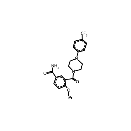 CC(C)Oc1ccc(C(N)=O)cc1C(=O)N1CCN(c2ccc(C(F)(F)F)cc2)CC1